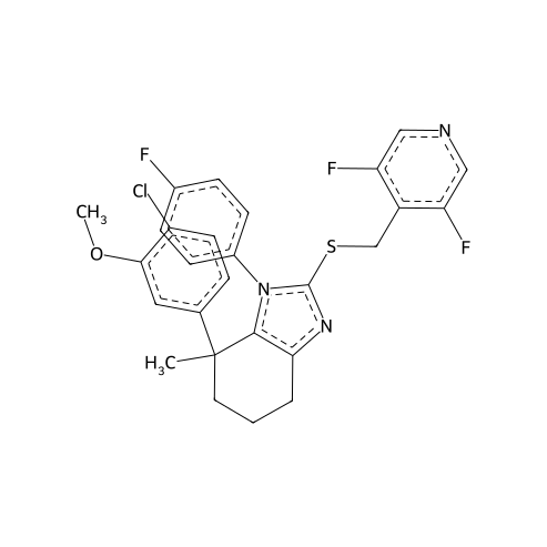 COc1cc(C2(C)CCCc3nc(SCc4c(F)cncc4F)n(-c4ccc(F)cc4)c32)ccc1Cl